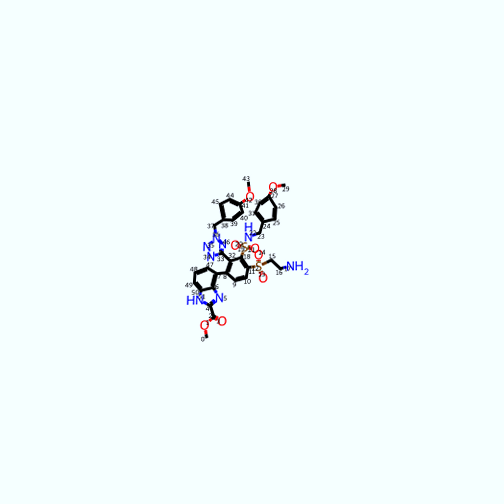 COC(=O)c1nc2c(-c3ccc(S(=O)(=O)CCN)c(S(=O)(=O)NCc4ccc(OC)cc4)c3-c3nnn(Cc4ccc(OC)cc4)n3)cccc2[nH]1